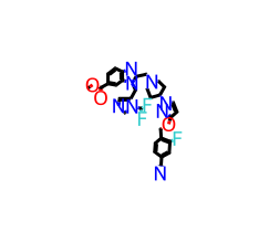 COC(=O)c1ccc2nc(CN3CCC(n4ccc(OCc5ccc(C#N)cc5F)n4)CC3)n(Cc3cncn3C(F)F)c2c1